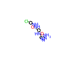 Nc1ncnn2ccc(C(=O)Nc3cccc(CNC(=O)Nc4ccc(Cl)cc4)c3)c12